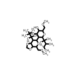 CCC(C)C(C)(C)C1OC(COC)C(O)C(O)C1C1OC(COC)C2OCOC2C1C(C)(C)C(C)(C)C